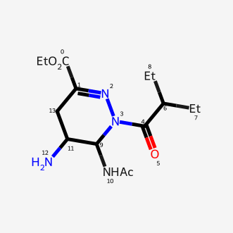 CCOC(=O)C1=NN(C(=O)C(CC)CC)C(NC(C)=O)C(N)C1